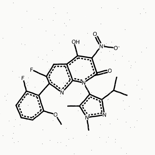 COc1cccc(F)c1-c1nc2c(cc1F)c(O)c([N+](=O)[O-])c(=O)n2-c1c(C(C)C)nn(C)c1C